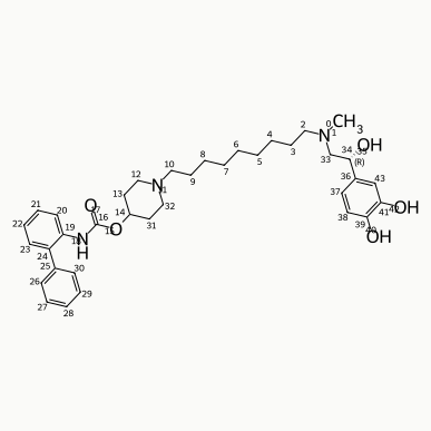 CN(CCCCCCCCCN1CCC(OC(=O)Nc2ccccc2-c2ccccc2)CC1)C[C@H](O)c1ccc(O)c(O)c1